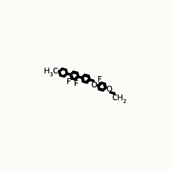 C=CCOc1ccc(OCc2ccc(-c3ccc(C4CCC(C)CC4)c(F)c3F)cc2)c(F)c1